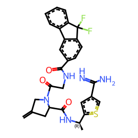 C=C1CC(C(=O)N[C@H](C)c2cc(C(=N)N)cs2)N(C(=O)CNC(=O)c2ccc3c(c2)-c2ccccc2C3(F)F)C1